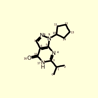 CC(C)c1nc2c(cnn2C2CCCC2)c(=O)[nH]1